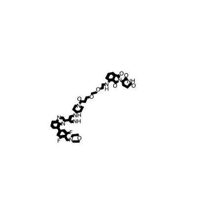 N=C/C(=C\NC1CCN(C(=O)CCOCCOCCNc2cccc3c2C(=O)N(C2CCC(=O)NC2=O)C3=O)CC1)c1cnc2cccc(-c3cc(F)c(CN4CCOCC4)c(F)c3)c2n1